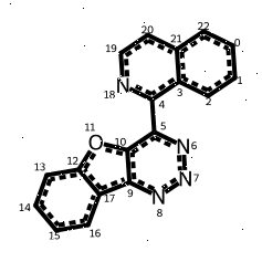 c1ccc2c(-c3nnnc4c3oc3ccccc34)nccc2c1